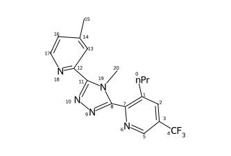 CCCc1cc(C(F)(F)F)cnc1-c1nnc(-c2cc(C)ccn2)n1C